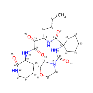 CCCC[C@H](NC(=O)C1(NC(=O)N2CCOCC2)CCCCC1)C(=O)C(=O)N[C@H]1CCCCNC1=O